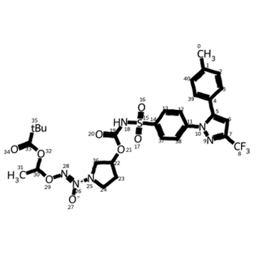 Cc1ccc(-c2cc(C(F)(F)F)nn2-c2ccc(S(=O)(=O)NC(=O)OC3CCN([N+]([O-])=NOC(C)OC(=O)C(C)(C)C)C3)cc2)cc1